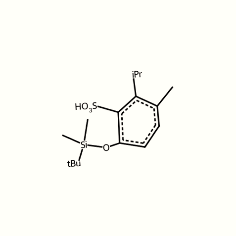 Cc1ccc(O[Si](C)(C)C(C)(C)C)c(S(=O)(=O)O)c1C(C)C